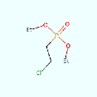 CCOP(=O)(CCCl)OCC